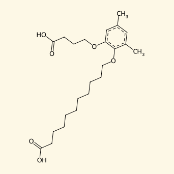 Cc1cc(C)c(OCCCCCCCCCCC(=O)O)c(OCCCC(=O)O)c1